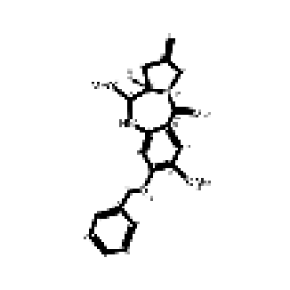 C=C1C[C@H]2C(OC)Nc3cc(OCc4ccccc4)c(OC)cc3C(=O)N2C1